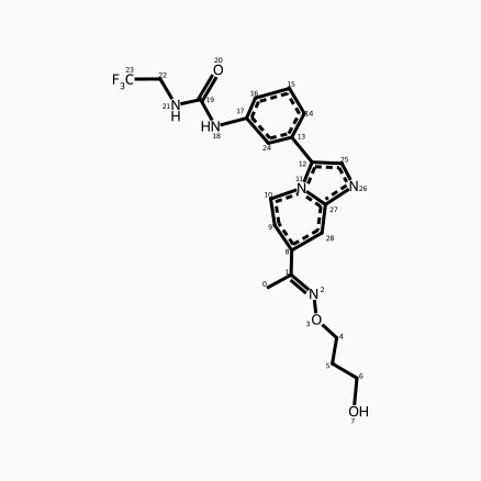 CC(=NOCCCO)c1ccn2c(-c3cccc(NC(=O)NCC(F)(F)F)c3)cnc2c1